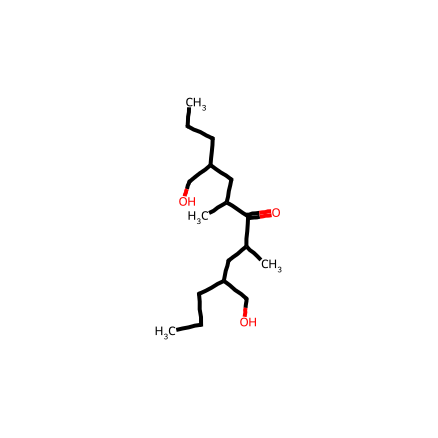 CCCC(CO)CC(C)C(=O)C(C)CC(CO)CCC